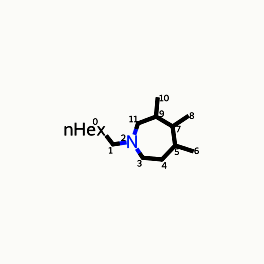 CCCCCCCN1CCC(C)C(C)C(C)C1